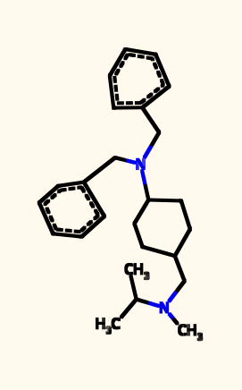 CC(C)N(C)CC1CCC(N(Cc2ccccc2)Cc2ccccc2)CC1